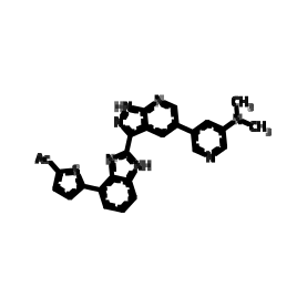 CC(=O)c1ccc(-c2cccc3[nH]c(-c4n[nH]c5ncc(-c6cncc(N(C)C)c6)cc45)nc23)s1